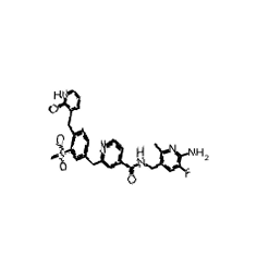 Cc1nc(N)c(F)cc1CNC(=O)c1ccnc(Cc2ccc(Cc3ccc[nH]c3=O)c(S(C)(=O)=O)c2)c1